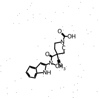 CN(C(=O)C1(C#N)CCN(C(=O)O)CC1)c1cc2ccccc2[nH]1